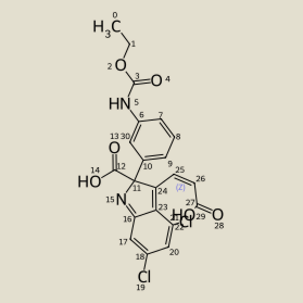 CCOC(=O)Nc1cccc(C2(C(=O)O)N=c3cc(Cl)cc(Cl)c3=C2/C=C\C(=O)O)c1